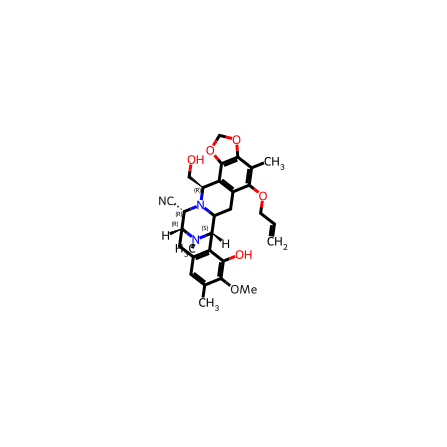 C=CCOc1c(C)c2c(c3c1CC1[C@@H]4c5c(cc(C)c(OC)c5O)C[C@H]([C@H](C#N)N1[C@H]3CO)N4C)OCO2